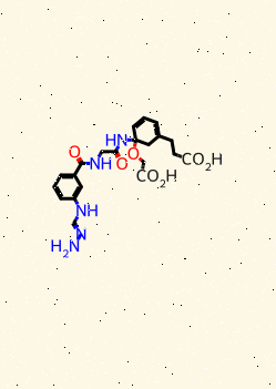 NN=CNc1cccc(C(=O)NCC(=O)NC2(OCC(=O)O)C=CC=C(CCC(=O)O)C2)c1